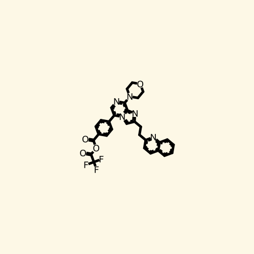 O=C(OC(=O)C(F)(F)F)c1ccc(-c2cnc(N3CCOCC3)c3nc(CCc4ccc5ccccc5n4)cn23)cc1